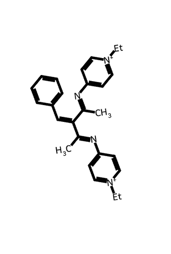 CC[n+]1ccc(N=C(C)C(=Cc2ccccc2)C(C)=Nc2cc[n+](CC)cc2)cc1